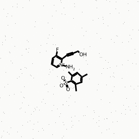 Cc1cc(C)c(S(=O)(=O)[O-])c(C)c1.N[n+]1cccc(F)c1C#CCO